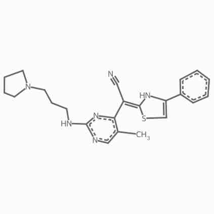 Cc1cnc(NCCCN2CCCC2)nc1C(C#N)=C1NC(c2ccccc2)=CS1